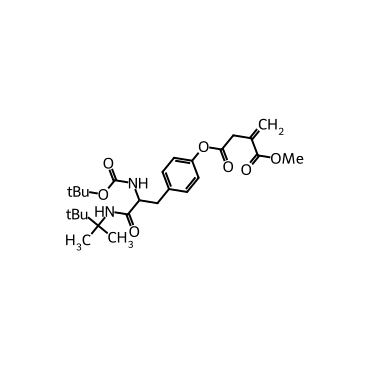 C=C(CC(=O)Oc1ccc(CC(NC(=O)OC(C)(C)C)C(=O)NC(C)(C)C(C)(C)C)cc1)C(=O)OC